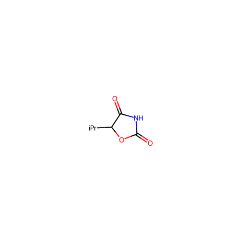 CC(C)C1OC(=O)NC1=O